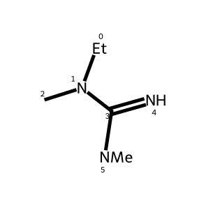 CCN(C)C(=N)NC